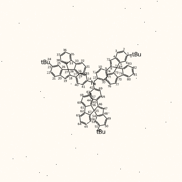 CC(C)(C)c1ccc2c(c1)C1(C(c3ccc(N(c4ccc(C5=Cc6ccc(C(C)(C)C)cc6C56c5ccccc5-c5ccccc56)cc4)c4ccc(C5=Cc6ccc(C(C)(C)C)cc6C56c5ccccc5-c5ccccc56)cc4)cc3)=C2)c2ccccc2-c2ccccc21